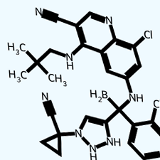 BC(Nc1cc(Cl)c2ncc(C#N)c(NCC(C)(C)C)c2c1)(C1=CN(C2(C#N)CC2)NN1)c1ccccc1Cl